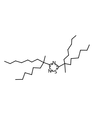 CCCCCCCC(C)(CCCCCC)c1nsc(C(C)(CCCCCC)CCCCCC)n1